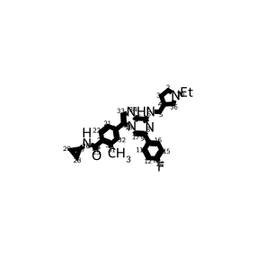 CCN1CCC(CNc2nc(-c3ccc(F)cc3)cn3c(-c4ccc(C(=O)NC5CC5)c(C)c4)cnc23)C1